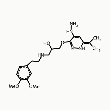 COc1ccc(CCNCC(O)COC2=NNC(=C(C)C)C=C2NN)cc1OC